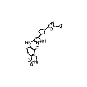 O=S1(=O)NCc2c1ccc(Nc1cc(C3CCC(c4cnc(C5CC5)o4)C3)[nH]n1)c2F